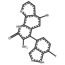 Nc1c(-c2ccc(F)c3[nH]ncc23)c2cc(Br)c3cccnc3c2[nH]c1=O